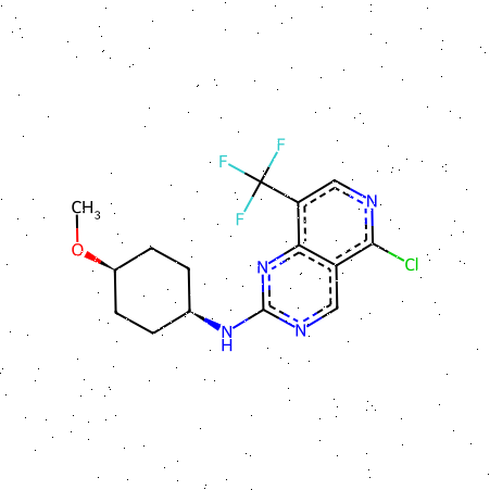 CO[C@H]1CC[C@@H](Nc2ncc3c(Cl)ncc(C(F)(F)F)c3n2)CC1